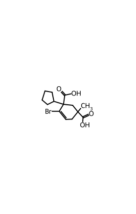 CC1(C(=O)O)CC=C(Br)C(C(=O)O)(C2CCCC2)C1